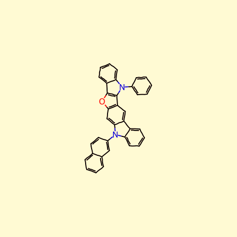 c1ccc(-n2c3ccccc3c3oc4cc5c(cc4c32)c2ccccc2n5-c2ccc3ccccc3c2)cc1